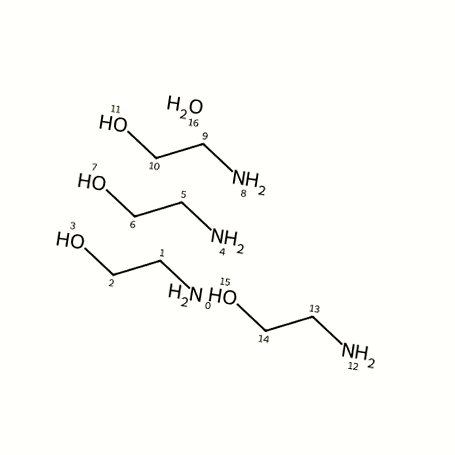 NCCO.NCCO.NCCO.NCCO.O